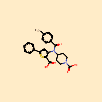 Cc1ccc(C(=O)N(c2cc(-c3ccccc3)sc2C(=O)O)C2CCN(C(=O)O)CC2)cc1